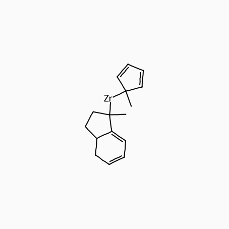 C[C]1([Zr][C]2(C)CCC3CC=CC=C32)C=CC=C1